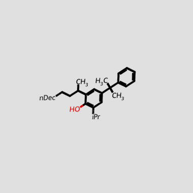 CCCCCCCCCCCCC(C)c1cc(C(C)(C)c2ccccc2)cc(C(C)C)c1O